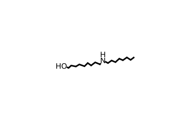 CCCCCCCCNCCCCCCCCCO